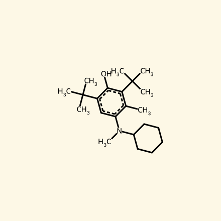 Cc1c(N(C)C2CCCCC2)cc(C(C)(C)C)c(O)c1C(C)(C)C